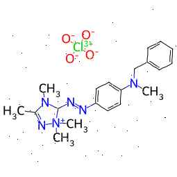 CC1=N[N+](C)(C)C(N=Nc2ccc(N(C)Cc3ccccc3)cc2)N1C.[O-][Cl+3]([O-])([O-])[O-]